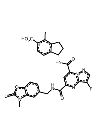 Cc1c(C(=O)O)ccc2c1CC[C@@H]2NC(=O)c1cc(C(=O)NCc2ccc3oc(=O)n(C)c3c2)nc2c(F)cnn12